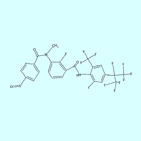 CN(C(=O)c1ccc([S+]=O)cc1)c1cccc(C(=O)Nc2c(I)cc(C(F)(C(F)(F)F)C(F)(F)F)cc2C(F)(F)F)c1F